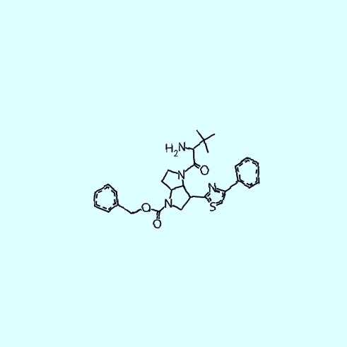 CC(C)(C)C(N)C(=O)N1CCC2C1C(c1nc(-c3ccccc3)cs1)CN2C(=O)OCc1ccccc1